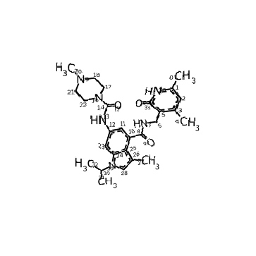 Cc1cc(C)c(CNC(=O)c2cc(NC(=O)N3CCN(C)CC3)cc3c2c(C)cn3C(C)C)c(=O)[nH]1